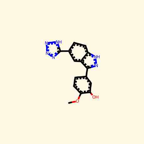 COc1ccc(-c2n[nH]c3ccc(-c4nnn[nH]4)cc23)cc1O